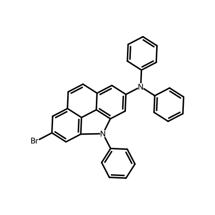 Brc1cc2ccc3cc(N(c4ccccc4)c4ccccc4)cc4c3c2c(c1)n4-c1ccccc1